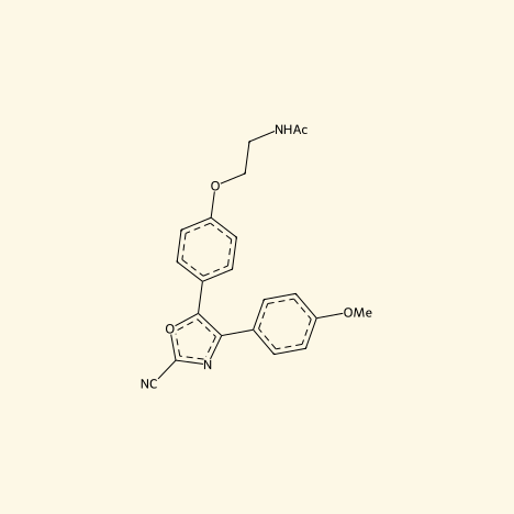 COc1ccc(-c2nc(C#N)oc2-c2ccc(OCCNC(C)=O)cc2)cc1